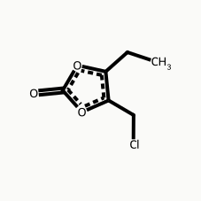 CCc1oc(=O)oc1CCl